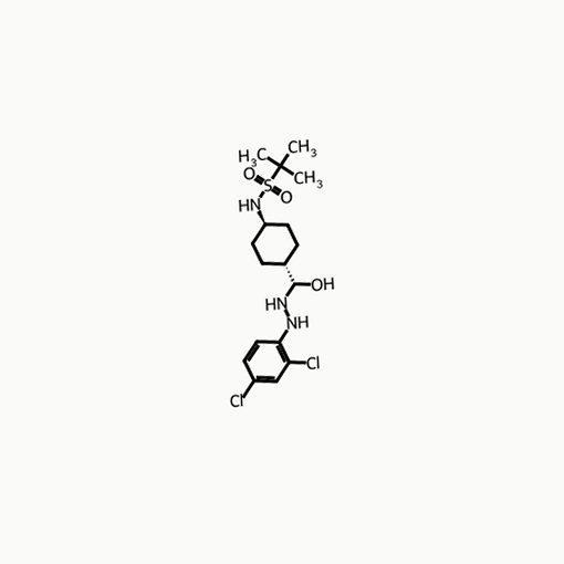 CC(C)(C)S(=O)(=O)N[C@H]1CC[C@H](C(O)NNc2ccc(Cl)cc2Cl)CC1